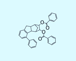 O=C(OC1C2CC(C1OC(=O)c1ccccc1)C1c3c(cccc3-c3ccccc3)CC21)c1ccccc1